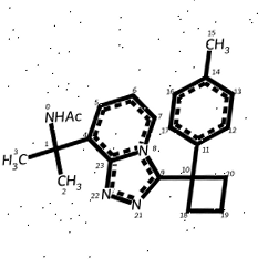 CC(=O)NC(C)(C)c1cccn2c(C3(c4ccc(C)cc4)CCC3)nnc12